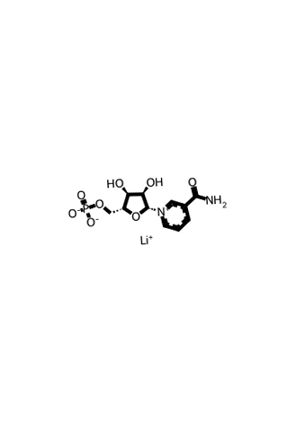 NC(=O)c1ccc[n+]([C@@H]2O[C@H](COP(=O)([O-])[O-])[C@@H](O)[C@H]2O)c1.[Li+]